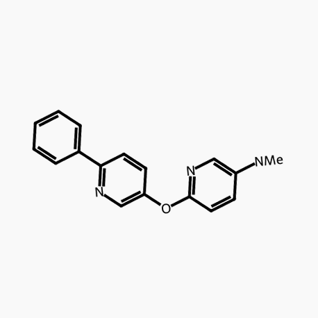 CNc1ccc(Oc2ccc(-c3ccccc3)nc2)nc1